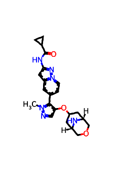 Cn1ncc(OC2C[C@H]3COC[C@@H](C2)N3)c1-c1ccn2nc(NC(=O)C3CC3)cc2c1